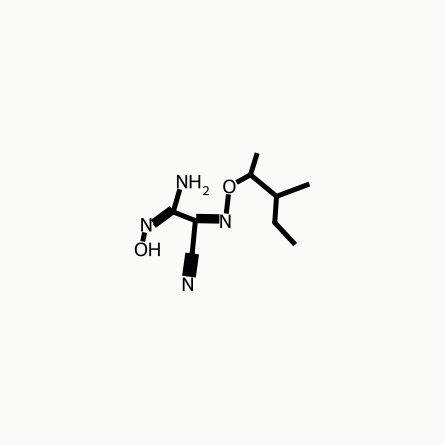 CCC(C)C(C)O/N=C(C#N)\C(N)=N/O